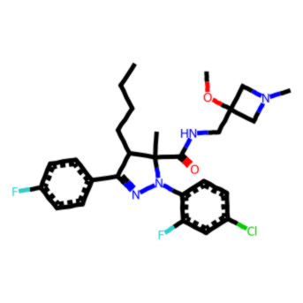 CCCCC1C(c2ccc(F)cc2)=NN(c2ccc(Cl)cc2F)C1(C)C(=O)NCC1(OC)CN(C)C1